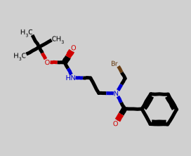 CC(C)(C)OC(=O)NCCN(CBr)C(=O)c1ccccc1